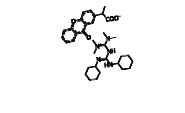 CC(C(=O)[O-])c1ccc2oc3ccccc3c(=O)c2c1.CN(C)C(NC(=NC1CCCCC1)NC1CCCCC1)=[N+](C)C